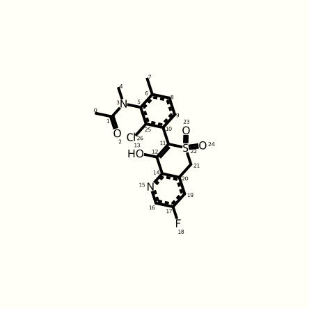 CC(=O)N(C)c1c(C)ccc(C2=C(O)c3ncc(F)cc3CS2(=O)=O)c1Cl